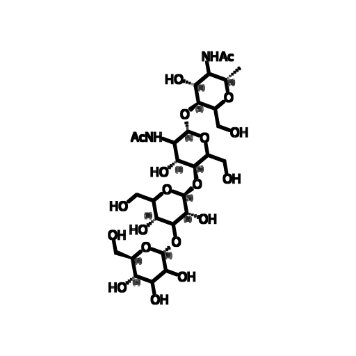 CC(=O)NC1[C@H](O[C@@H]2C(CO)O[C@@H](C)C(NC(C)=O)[C@H]2O)OC(CO)[C@@H](O[C@@H]2OC(CO)[C@@H](O)C(O[C@H]3O[C@H](CO)[C@@H](O)C(O)C3O)[C@H]2O)[C@@H]1O